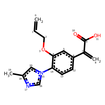 C=CCOc1cc(C(=C)C(=O)O)ccc1-n1cnc(C)c1